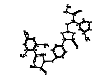 COC(=O)C(Cc1ccc(N2CC(CN(C(=O)OC(C)(C)C)c3cc(C)ccn3)CC2=O)cc1)NC(=O)c1c(C)cc(C)cc1C